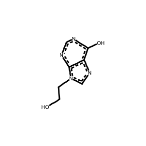 OCCn1cnc2c(O)ncnc21